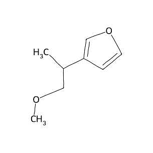 COCC(C)c1ccoc1